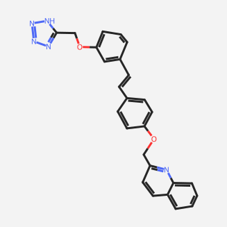 C(=Cc1cccc(OCc2nnn[nH]2)c1)c1ccc(OCc2ccc3ccccc3n2)cc1